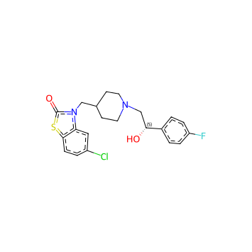 O=c1sc2ccc(Cl)cc2n1CC1CCN(C[C@@H](O)c2ccc(F)cc2)CC1